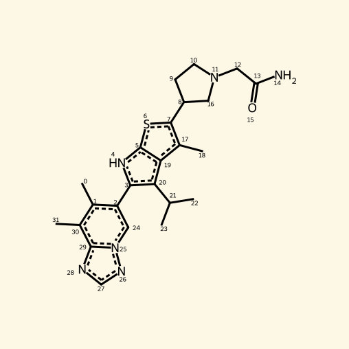 Cc1c(-c2[nH]c3sc(C4CCN(CC(N)=O)C4)c(C)c3c2C(C)C)cn2ncnc2c1C